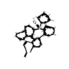 C=C/C=C\c1c(C)ccc2c1-c1c(ccc3ccccc13)P(=O)(c1ccccc1)c1ccccc1-2